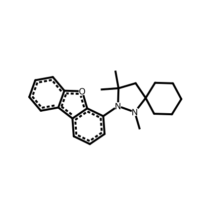 CN1N(c2cccc3c2oc2ccccc23)C(C)(C)CC12CCCCC2